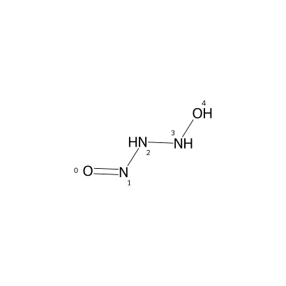 O=NNNO